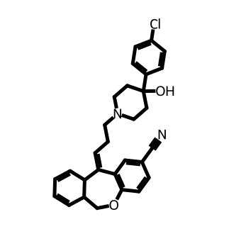 N#Cc1ccc2c(c1)C(=CCCN1CCC(O)(c3ccc(Cl)cc3)CC1)C1C=CC=CC1CO2